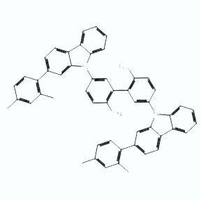 Cc1ccc(-c2ccc3c4ccccc4n(-c4ccc(C#N)c(-c5cc(-n6c7ccccc7c7ccc(-c8ccc(C)cc8C)cc76)ccc5C#N)c4)c3c2)c(C)c1